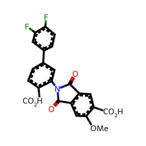 COc1cc2c(cc1C(=O)O)C(=O)N(c1cc(-c3ccc(F)c(F)c3)ccc1C(=O)O)C2=O